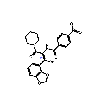 O=C(N/C(C(=O)N1CCCCC1)=C(\Br)c1cccc2c1OCO2)c1ccc([N+](=O)[O-])cc1